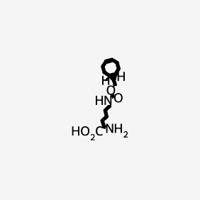 N[C@@H](CCCCNC(=O)OCC1[C@H]2CC/C=C\CC[C@@H]12)C(=O)O